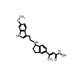 COc1ccc2c(CCNC3CCc4cc(/C(C)=C/C(=O)NO)ccc43)c[nH]c2c1